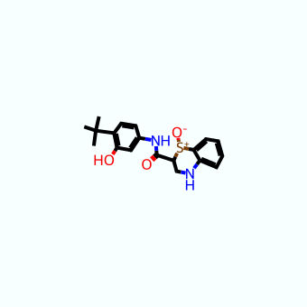 CC(C)(C)c1ccc(NC(=O)C2CNc3ccccc3[S+]2[O-])cc1O